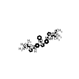 COC(=O)N[C@H](C(=O)N1CCC[C@H]1c1nc2cc([C@H]3CC[C@H](c4ccc5nc([C@@H]6CCCN6C(=O)[C@@H](OC(N)=O)C(C)C)[nH]c5c4)N3c3nc4c(s3)CCCC4)ccc2[nH]1)C(C)C